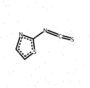 S=C=Nc1nccs1